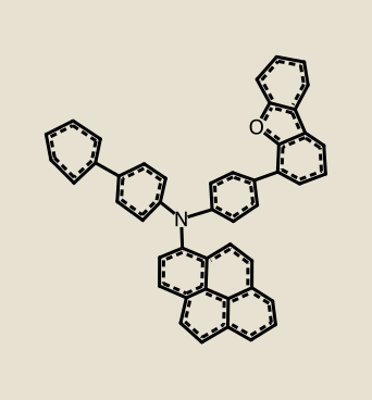 c1ccc(-c2ccc(N(c3ccc(-c4cccc5c4oc4ccccc45)cc3)c3ccc4ccc5cccc6ccc3c4c56)cc2)cc1